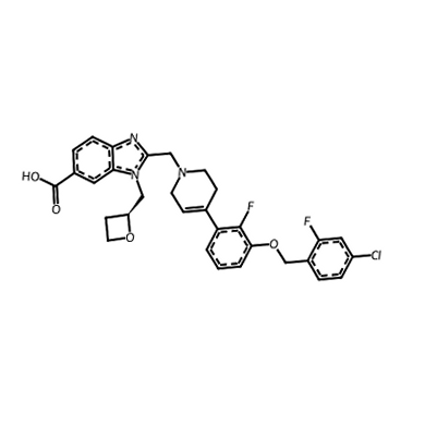 O=C(O)c1ccc2nc(CN3CC=C(c4cccc(OCc5ccc(Cl)cc5F)c4F)CC3)n(C[C@@H]3CCO3)c2c1